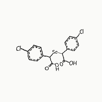 O=C(O)C([Se]C(C(=O)O)c1ccc(Cl)cc1)c1ccc(Cl)cc1